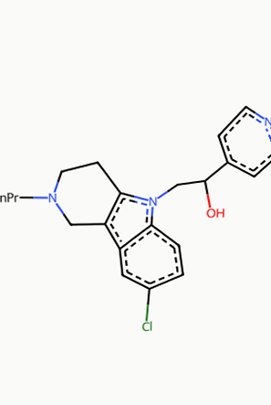 CCCN1CCc2c(c3cc(Cl)ccc3n2CC(O)c2ccncc2)C1